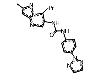 Cc1cc2ncc(NC(=O)Nc3ccc(-n4nccn4)cc3)c(C(C)C)n2n1